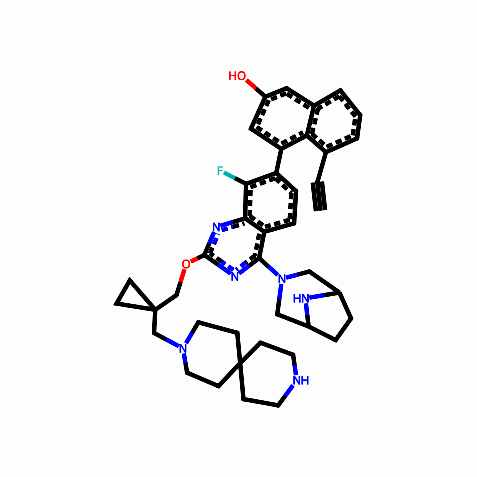 C#Cc1cccc2cc(O)cc(-c3ccc4c(N5CC6CCC(C5)N6)nc(OCC5(CN6CCC7(CCNCC7)CC6)CC5)nc4c3F)c12